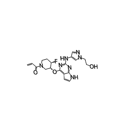 C=CC(=O)N1CC[C@@H](F)[C@@H](Oc2nc(Nc3cnn(CCO)c3)nc3[nH]ccc23)C1